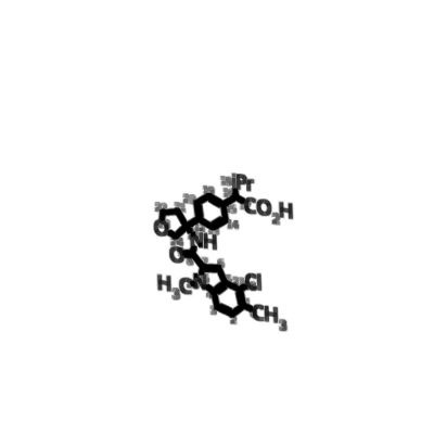 Cc1ccc2c(cc(C(=O)NC3(c4ccc(C(C(=O)O)C(C)C)cc4)CCOC3)n2C)c1Cl